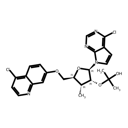 C[C@H]1[C@@H](OC(C)(C)O)[C@H](n2ccc3c(Cl)ncnc32)O[C@@H]1COc1ccc2c(Cl)ccnc2c1